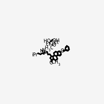 CC(C)CCc1cn(CCCC2CC(=O)C3(C)CCC4c5ccc(OCc6ccccc6)cc5CCC4C23)nn1.CCOC(C)OCC.OCCO